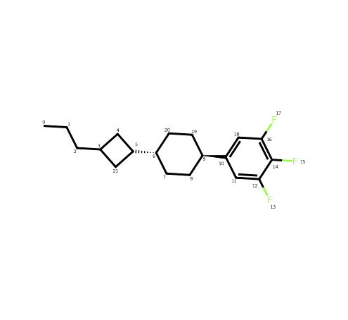 CCCC1CC([C@H]2CC[C@H](c3cc(F)c(F)c(F)c3)CC2)C1